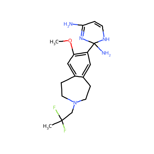 COc1cc2c(cc1C1(N)N=C(N)C=CN1)CCN(CC(C)(F)F)CC2